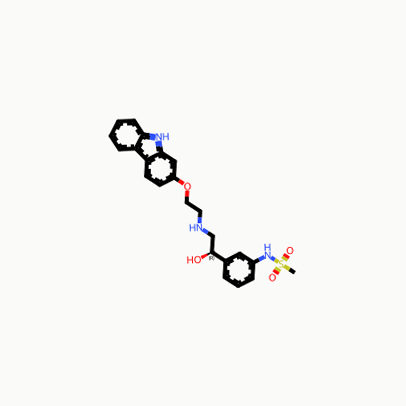 CS(=O)(=O)Nc1cccc([C@@H](O)CNCCOc2ccc3c(c2)[nH]c2ccccc23)c1